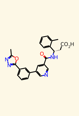 Cc1nnc(-c2cccc(-c3cncc(C(=O)N[C@@H](CC(=O)O)c4ccccc4C)c3)c2)o1